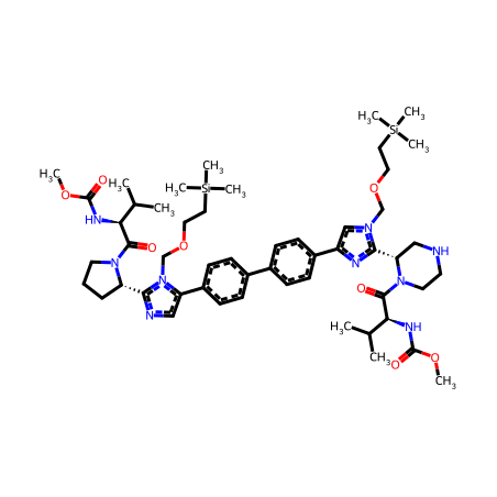 COC(=O)N[C@H](C(=O)N1CCNC[C@H]1c1nc(-c2ccc(-c3ccc(-c4cnc([C@@H]5CCCN5C(=O)[C@@H](NC(=O)OC)C(C)C)n4COCC[Si](C)(C)C)cc3)cc2)cn1COCC[Si](C)(C)C)C(C)C